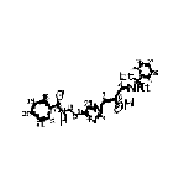 CCC(CC)(NCC(O)Cn1cnc(CCNC(=O)c2ccccc2)c1)c1ccccc1